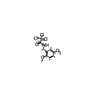 COc1ccc(OC)c(CNC(=O)C(Cl)(Cl)Cl)c1